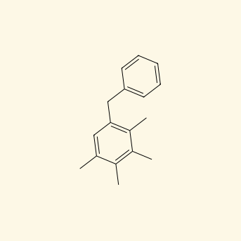 Cc1cc(Cc2ccccc2)c(C)c(C)c1C